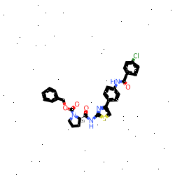 O=C(Nc1ccc(-c2csc(NC(=O)[C@@H]3CCCN3C(=O)OCc3ccccc3)n2)cc1)c1ccc(Cl)cc1